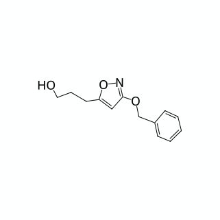 OCCCc1cc(OCc2ccccc2)no1